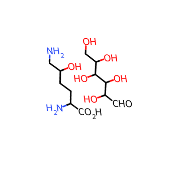 NCC(O)CCC(N)C(=O)O.O=CC(O)C(O)C(O)C(O)CO